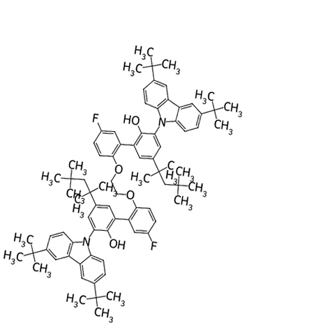 CC(C)(C)CC(C)(C)c1cc(-c2cc(F)ccc2OCCOc2ccc(F)cc2-c2cc(C(C)(C)CC(C)(C)C)cc(-n3c4ccc(C(C)(C)C)cc4c4cc(C(C)(C)C)ccc43)c2O)c(O)c(-n2c3ccc(C(C)(C)C)cc3c3cc(C(C)(C)C)ccc32)c1